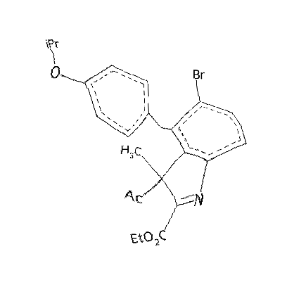 CCOC(=O)C1=Nc2ccc(Br)c(-c3ccc(OC(C)C)cc3)c2C1(C)C(C)=O